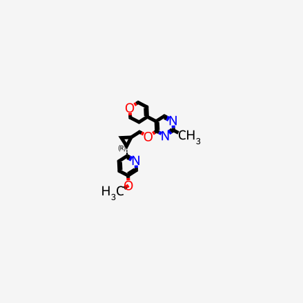 COc1ccc([C@@H]2CC2COc2nc(C)ncc2C2=CCOCC2)nc1